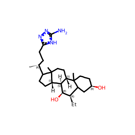 CC[C@@H]1C2C[C@H](O)CCC2(C)[C@H]2CCC3(C)C([C@H](C)CCc4nnc(N)[nH]4)CC[C@H]3[C@@H]2[C@@H]1O